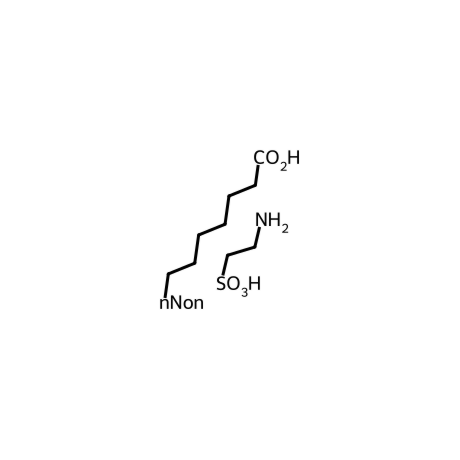 CCCCCCCCCCCCCCCC(=O)O.NCCS(=O)(=O)O